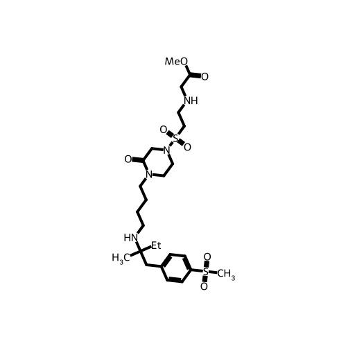 CCC(C)(Cc1ccc(S(C)(=O)=O)cc1)NCCCCN1CCN(S(=O)(=O)CCNCC(=O)OC)CC1=O